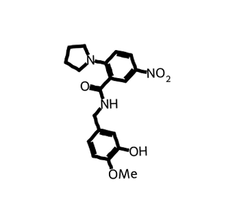 COc1ccc(CNC(=O)c2cc([N+](=O)[O-])ccc2N2CCCC2)cc1O